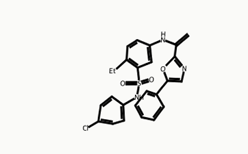 C=C(Nc1ccc(CC)c(S(=O)(=O)Nc2ccc(Cl)cc2)c1)c1ncc(-c2ccccc2)o1